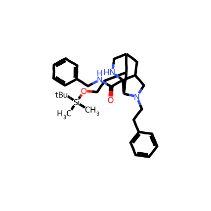 CC(C)(C)[Si](C)(C)OCCC1C2CNC3(C(=O)NCc4ccccc4)C(C2)CN(CCc2ccccc2)C13